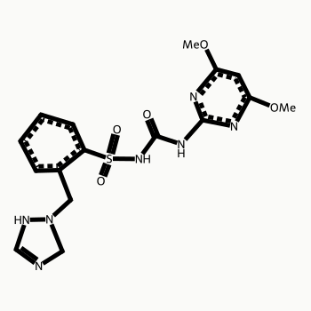 COc1cc(OC)nc(NC(=O)NS(=O)(=O)c2ccccc2CN2CN=CN2)n1